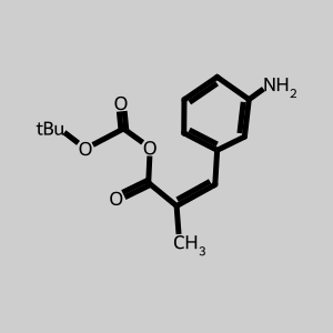 CC(=Cc1cccc(N)c1)C(=O)OC(=O)OC(C)(C)C